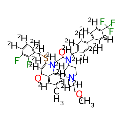 [2H]c1c([2H])c(F)c(F)c(C([2H])([2H])Sc2c([2H])c(=O)c3c([2H])c(C)c([2H])c([2H])c3n2C([2H])([2H])C(=O)N(C2CCN(C([2H])([2H])COC)CC2)C([2H])([2H])c2c([2H])c([2H])c(-c3c([2H])c([2H])c(C(F)(F)F)c([2H])c3[2H])c([2H])c2[2H])c1[2H]